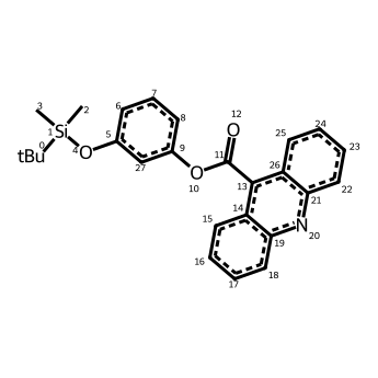 CC(C)(C)[Si](C)(C)Oc1cccc(OC(=O)c2c3ccccc3nc3ccccc23)c1